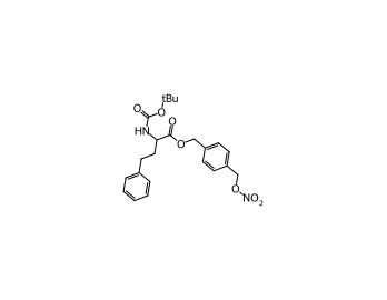 CC(C)(C)OC(=O)NC(CCc1ccccc1)C(=O)OCc1ccc(CO[N+](=O)[O-])cc1